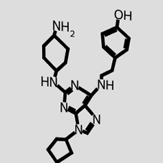 NC1CCC(Nc2nc(NCCc3ccc(O)cc3)c3ncn(C4CCCC4)c3n2)CC1